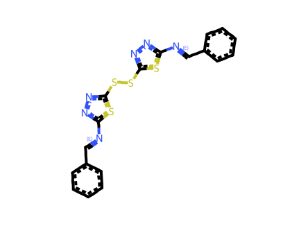 C(=N\c1nnc(SSc2nnc(/N=C/c3ccccc3)s2)s1)/c1ccccc1